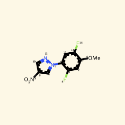 COc1cc(F)c(-n2cc([N+](=O)[O-])cn2)cc1F